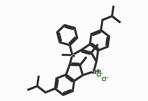 CC1=C2c3cc(CC(C)C)ccc3[CH]1[Zr+2][CH]1C(C)=C(c3cc(CC(C)C)ccc31)[Si]2(C)c1ccccc1.[Cl-].[Cl-]